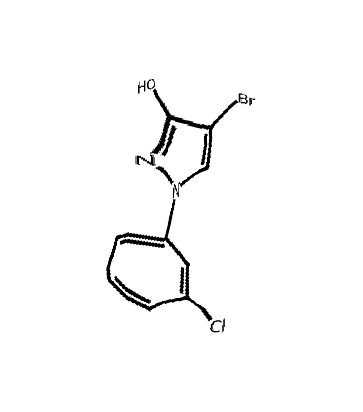 Oc1nn(-c2cccc(Cl)c2)cc1Br